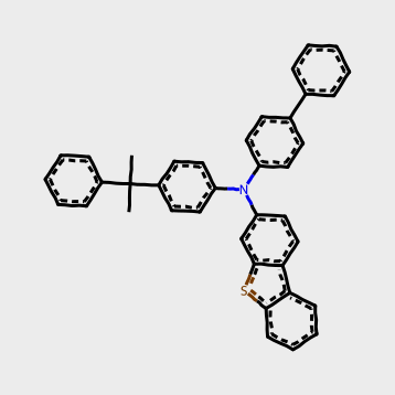 CC(C)(c1ccccc1)c1ccc(N(c2ccc(-c3ccccc3)cc2)c2ccc3c(c2)sc2ccccc23)cc1